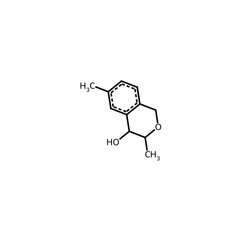 Cc1ccc2c(c1)C(O)C(C)OC2